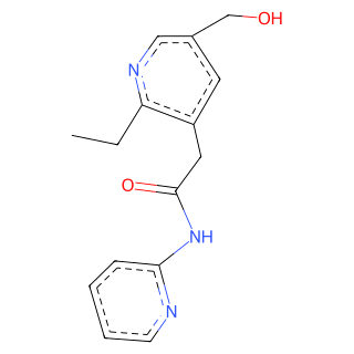 CCc1ncc(CO)cc1CC(=O)Nc1ccccn1